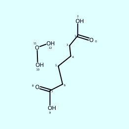 O=C(O)CCCCC(=O)O.OOO